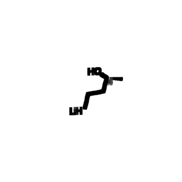 CCC[C@@H](C)O.[LiH]